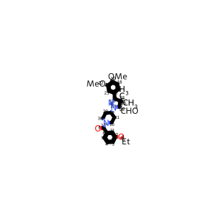 CCOc1cccc(C(=O)N2CCC(N3N=C(c4ccc(OC)c(OC)c4)C(C)(C)C3C=O)CC2)c1